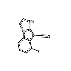 N#Cc1c2c(I)cccc2n2cc[nH]c12